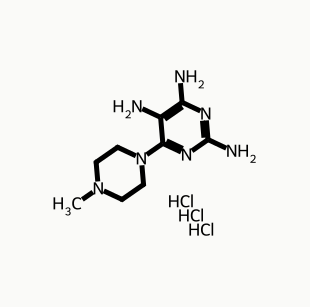 CN1CCN(c2nc(N)nc(N)c2N)CC1.Cl.Cl.Cl